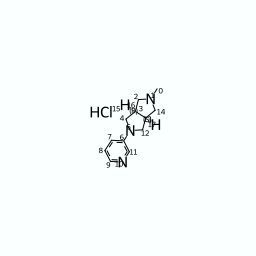 CN1C[C@@H]2CN(c3cccnc3)C[C@@H]2C1.Cl